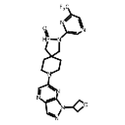 O=[PH]1CC2(CCN(c3cnc4cnn(C5COC5)c4n3)CC2)CN1c1cncc(C(F)(F)F)n1